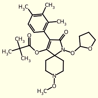 CON1CCC2(CC1)C(OC(=O)C(C)(C)C)=C(c1ccc(C)c(C)c1C)C(=O)N2OC1CCCO1